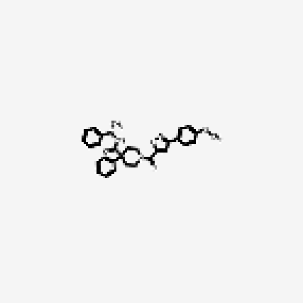 COc1ccc(-c2cc(C(=O)N3CCC(C(=O)N[C@@H](C)c4ccccc4)(c4ccccc4)CC3)on2)cc1